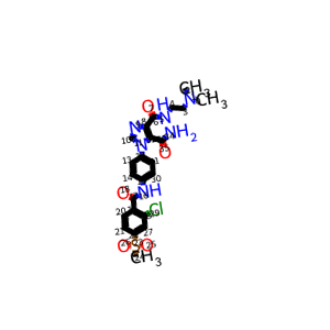 CN(C)CCNC(=O)c1ncn(-c2ccc(NC(=O)c3ccc(S(C)(=O)=O)cc3Cl)cc2)c1C(N)=O